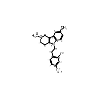 Cc1ccc2c(c1)c1c(n2CCc2ccc(C(F)(F)F)cc2F)CCN(C)C1